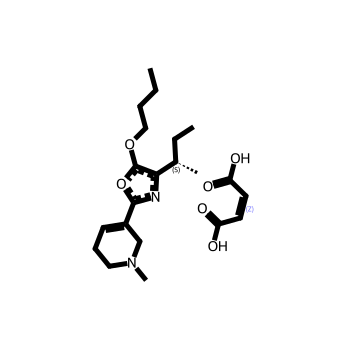 CCCCOc1oc(C2=CCCN(C)C2)nc1[C@@H](C)CC.O=C(O)/C=C\C(=O)O